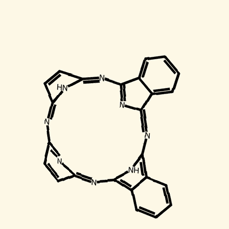 C1=Cc2nc1nc1ccc(nc3nc(nc4[nH]c(n2)c2ccccc42)-c2ccccc2-3)[nH]1